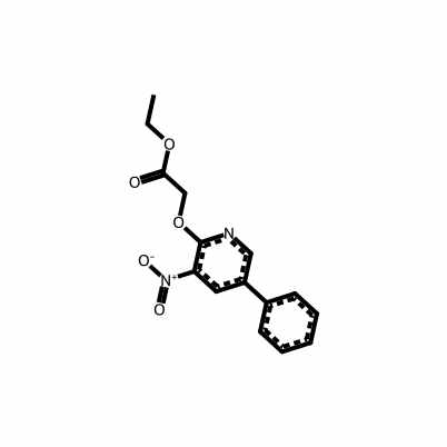 CCOC(=O)COc1ncc(-c2ccccc2)cc1[N+](=O)[O-]